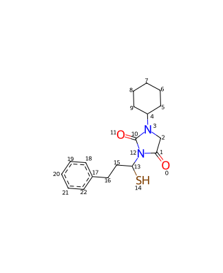 O=C1CN(C2CCCCC2)C(=O)N1C(S)CCc1ccccc1